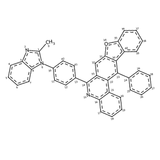 Cc1nc2ccccc2n1-c1ccc(-c2nc3ccccc3c3c(-c4ccccc4)c4c(cc23)oc2ccccc24)cc1